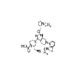 CN1CCC[C@H]1COc1nc2c(c(N3CCN(C(=O)O)[C@@H](CC#N)C3)n1)CCN(c1cccc3ccn(C)c13)C2